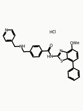 COc1ccc(-c2ccccc2)c2sc(NC(=O)c3ccc(CNCc4ccncc4)cc3)nc12.Cl